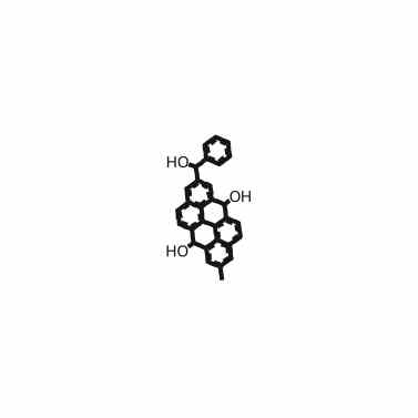 Cc1cc2c3c4c(ccc3c1)C(O)c1cc(C(O)c3ccccc3)cc3ccc(c-4c13)C2O